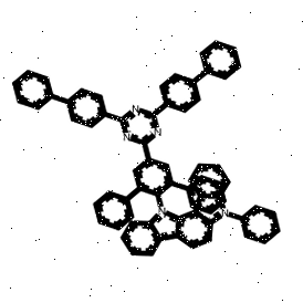 c1ccc(-c2ccc(-c3nc(-c4ccc(-c5ccccc5)cc4)nc(-c4cc(-c5ccccc5)c(-n5c6ccccc6c6ccc7c(c8ccccc8n7-c7ccccc7)c65)c(-c5ccccc5)c4)n3)cc2)cc1